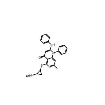 CC(=O)NC1CC1Sc1nc(C)cc2c1c(=O)cc(Nc1ccccc1)n2-c1ccccc1